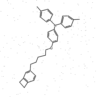 Cc1ccc(N(c2ccc(C)cc2)c2ccc(OCCCCCc3ccc4c(c3)CC4)cc2)cc1